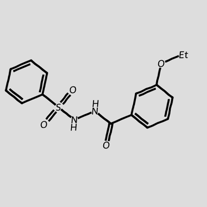 CCOc1cccc(C(=O)NNS(=O)(=O)c2ccccc2)c1